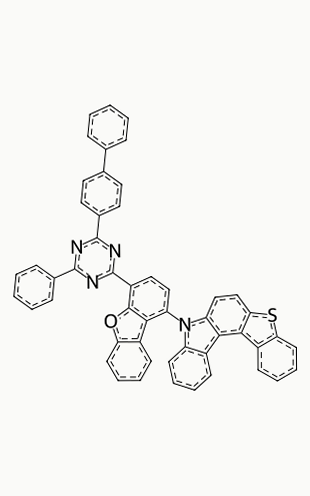 c1ccc(-c2ccc(-c3nc(-c4ccccc4)nc(-c4ccc(-n5c6ccccc6c6c7c(ccc65)sc5ccccc57)c5c4oc4ccccc45)n3)cc2)cc1